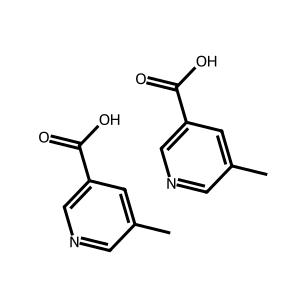 Cc1cncc(C(=O)O)c1.Cc1cncc(C(=O)O)c1